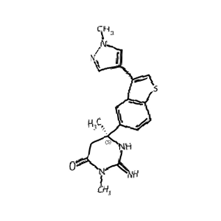 CN1C(=N)N[C@](C)(c2ccc3scc(-c4cnn(C)c4)c3c2)CC1=O